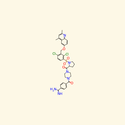 Cc1cc(C)c2cc(OCc3c(Cl)ccc(S(=O)(=O)N4CCCC4C(=O)N4CCN(C(=O)c5ccc(C(=N)N)cc5)CC4)c3Cl)ccc2n1